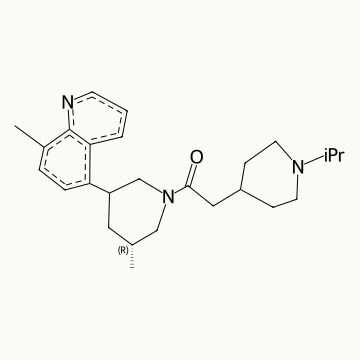 Cc1ccc(C2C[C@@H](C)CN(C(=O)CC3CCN(C(C)C)CC3)C2)c2cccnc12